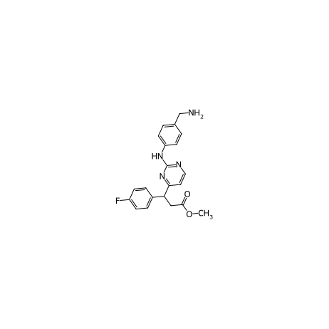 COC(=O)CC(c1ccc(F)cc1)c1ccnc(Nc2ccc(CN)cc2)n1